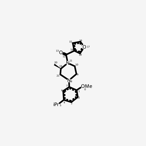 COc1[c]cc(C(C)C)cc1N1CCN(C(=O)c2ccoc2)[C@H](C)C1